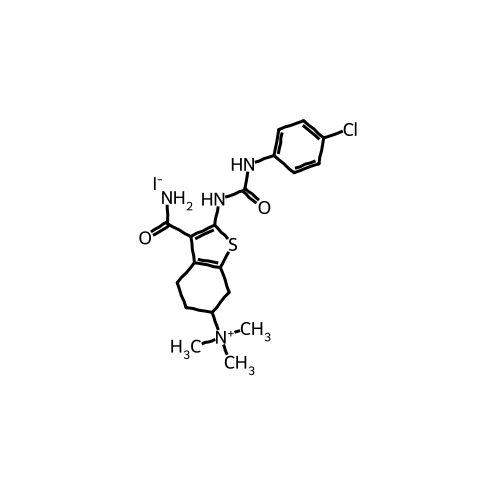 C[N+](C)(C)C1CCc2c(sc(NC(=O)Nc3ccc(Cl)cc3)c2C(N)=O)C1.[I-]